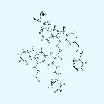 CCOCCn1c(NC2CCN(CCOc3ncccn3)CC2)nc2cccnc21.CCOCCn1c(NC2CCN(CCOc3ncccn3)CC2)nc2cccnc21.O=C(O)C(=O)O